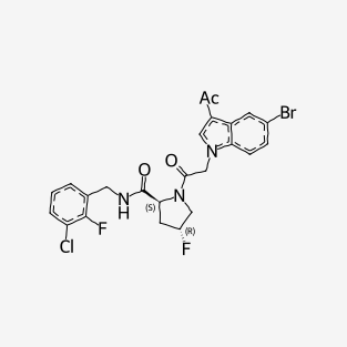 CC(=O)c1cn(CC(=O)N2C[C@H](F)C[C@H]2C(=O)NCc2cccc(Cl)c2F)c2ccc(Br)cc12